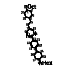 CCCCCCCCC1CCC(CCc2cnc(-c3ccc(C4CCC(CCCCCC)CC4)cc3)nc2)CC1